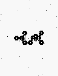 c1ccc(-c2cc(-c3ccccc3)nc(-c3cccc(-c4cccc(-c5ccc6ccc7c(-c8ccccc8)cc(-c8ccccc8)nc7c6n5)c4)c3)n2)cc1